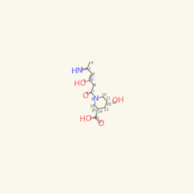 CC(=N)/C=C(\O)CC(=O)N1C[C@H](O)C[C@@H](C(=O)O)C1